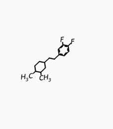 CC1CCC(CCc2ccc(F)c(F)c2)CC1C